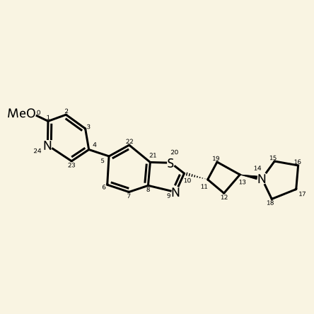 COc1ccc(-c2ccc3nc([C@H]4C[C@H](N5CCCC5)C4)sc3c2)cn1